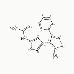 Cc1onc(-c2ccccc2)c1-c1csc(NC(=O)C(=O)O)n1